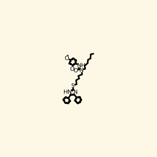 CCCCCCCN(CCCCCSc1nc(-c2ccccc2)c(-c2ccccc2)[nH]1)C(=O)Nc1ccc(OC)cc1OC